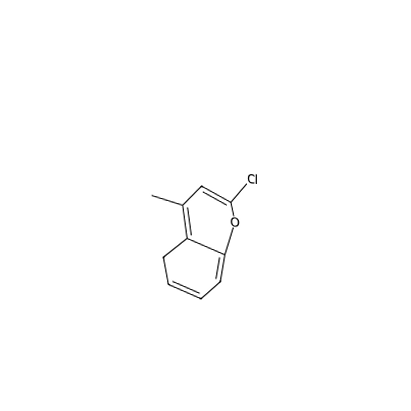 CC1=C2CC=CC=C2OC(Cl)=C1